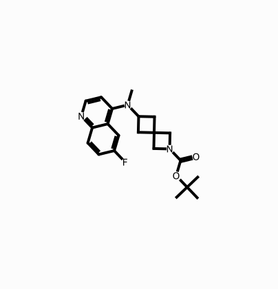 CN(c1ccnc2ccc(F)cc12)C1CC2(C1)CN(C(=O)OC(C)(C)C)C2